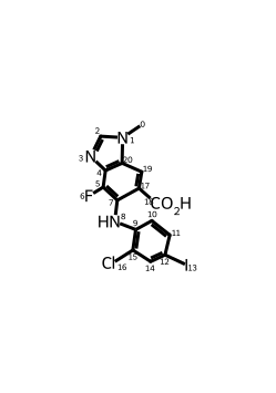 Cn1cnc2c(F)c(Nc3ccc(I)cc3Cl)c(C(=O)O)cc21